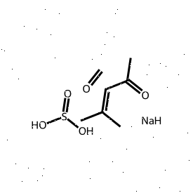 C=O.CC(=O)C=C(C)C.O=S(O)O.[NaH]